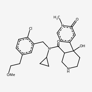 COCCc1ccc(Cl)c(CN(C(=O)C2CNCCC2(O)c2ccn(C)c(=O)c2)C2CC2)c1